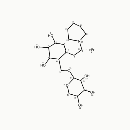 CCC[C@H](CN1CC(O)C(O)C(O)C1COC1OCC(O)C(O)C1O)N1CCCCC1